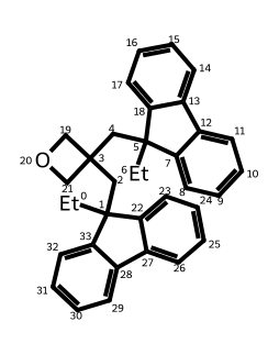 CCC1(CC2(CC3(CC)c4ccccc4-c4ccccc43)COC2)c2ccccc2-c2ccccc21